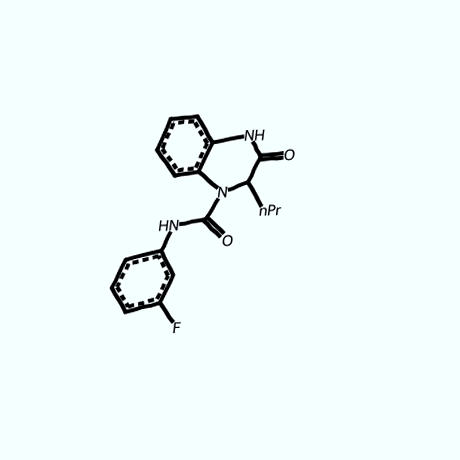 CCCC1C(=O)Nc2ccccc2N1C(=O)Nc1cccc(F)c1